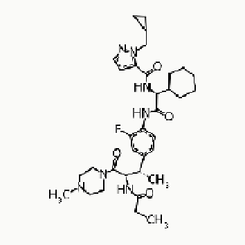 CCC(=O)N[C@@H](C(=O)N1CCN(C)CC1)[C@@H](C)c1ccc(NC(=O)[C@@H](NC(=O)c2ccnn2CC2CC2)C2CCCCC2)c(F)c1